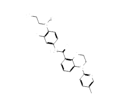 Cc1ccc(N2CCOc3c(C(=O)Nc4ccc(N(CCO)C(C)C)c(F)c4)cccc32)nc1